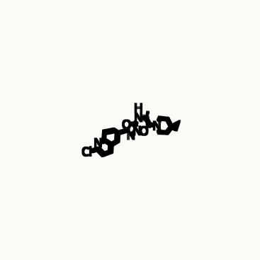 C[C@H](Nc1nnc(-c2ccc3nc(Cl)ccc3c2)o1)C(=O)N1CCC2(CC1)CC2